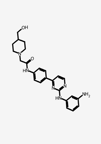 Nc1cccc(Nc2nccc(-c3ccc(NC(=O)CN4CCC(CO)CC4)cc3)n2)c1